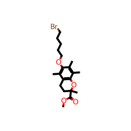 COC(=O)C1(C)CCc2c(C)c(OCCCCCBr)c(C)c(C)c2O1